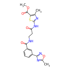 COC(=O)c1sc(NC(=O)CCNC(=O)c2cccc(-c3noc(C)n3)c2)nc1C